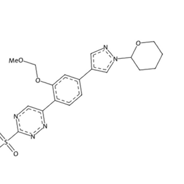 COCOc1cc(-c2cnn(C3CCCCO3)c2)ccc1-c1cnc(S(C)(=O)=O)nn1